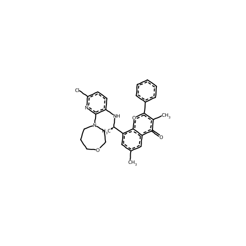 Cc1cc([C@@H](C)Nc2ccc(Cl)nc2N2CCCOCC2)c2oc(-c3ccccc3)c(C)c(=O)c2c1